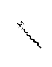 CCCCCCCCCC[CH]OC(C)OC